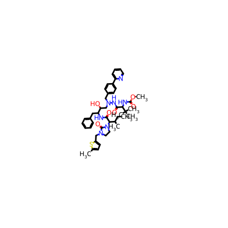 CCC(C)C(C(=O)NC(Cc1ccccc1)C(O)CN(Cc1ccc(-c2ccccn2)cc1)NC(=O)C(NC(=O)OC)C(C)(C)C)N1CCN(Cc2ccc(C)s2)C1=O